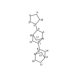 C1CCC(C2CC3=C(C4=C5CCC(C5)C4)CC2C3)C1